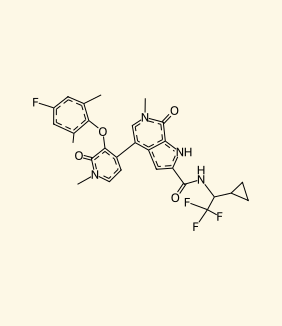 Cc1cc(F)cc(C)c1Oc1c(-c2cn(C)c(=O)c3[nH]c(C(=O)NC(C4CC4)C(F)(F)F)cc23)ccn(C)c1=O